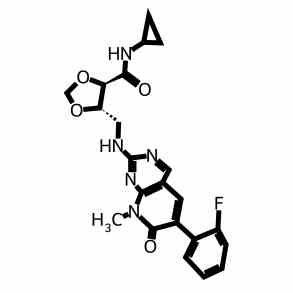 Cn1c(=O)c(-c2ccccc2F)cc2cnc(NC[C@@H]3OCO[C@H]3C(=O)NC3CC3)nc21